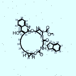 COC(=O)[C@@H]1C[C@@H]2CN1C(=O)[C@H](C1Cc3ccccc3C1)NC(=O)O[C@@H]1C[C@H]1CCCCCc1c(nc3ccccc3c1O)O2